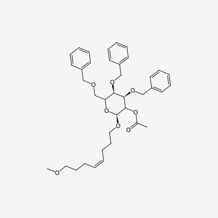 COCCC/C=C\CCCO[C@H]1OC(COCc2ccccc2)[C@@H](OCc2ccccc2)[C@@H](OCc2ccccc2)C1OC(C)=O